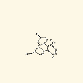 C#Cc1ccc(-c2c(C)nnc(Cl)c2-c2c(F)cc(F)cc2F)cc1